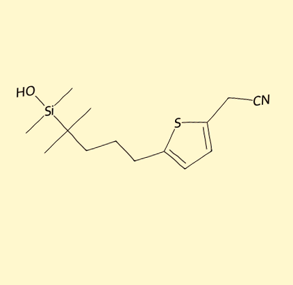 CC(C)(CCCc1ccc(CC#N)s1)[Si](C)(C)O